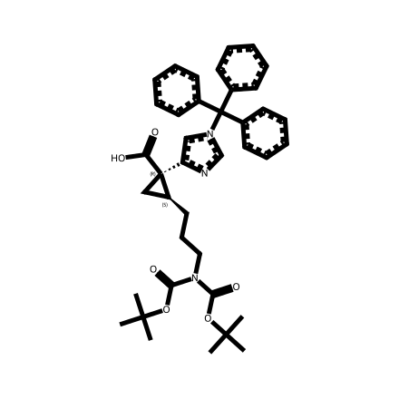 CC(C)(C)OC(=O)N(CCC[C@H]1C[C@]1(C(=O)O)c1cn(C(c2ccccc2)(c2ccccc2)c2ccccc2)cn1)C(=O)OC(C)(C)C